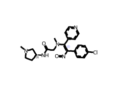 CN1CC[C@H](NC(=O)CN(C)/C(=C(\N=O)c2ccc(Cl)cc2)c2ccncc2)C1